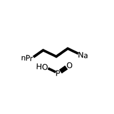 CCCCC[CH2][Na].O=PO